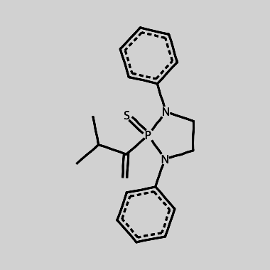 C=C(C(C)C)P1(=S)N(c2ccccc2)CCN1c1ccccc1